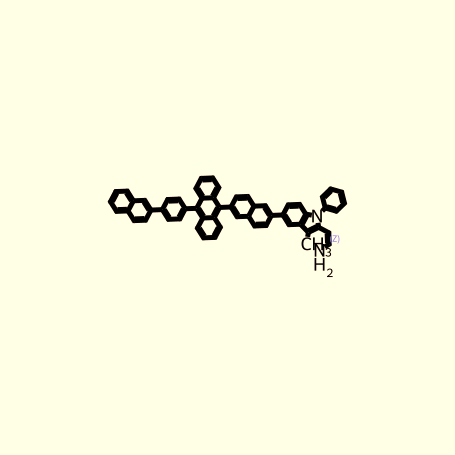 Cc1c(/C=C\N)n(-c2ccccc2)c2ccc(C3=CC4C=CC(c5c6ccccc6c(-c6ccc(-c7ccc8ccccc8c7)cc6)c6ccccc56)=CC4C=C3)cc12